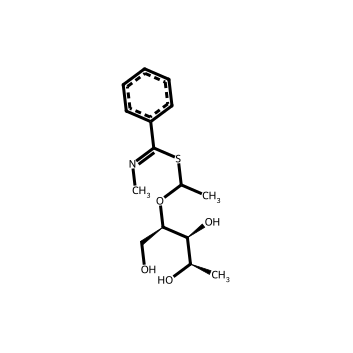 C/N=C(\SC(C)O[C@H](CO)[C@@H](O)[C@@H](C)O)c1ccccc1